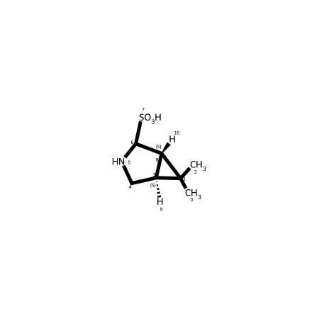 CC1(C)[C@H]2CNC(S(=O)(=O)O)[C@@H]21